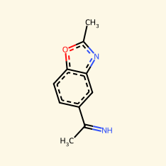 CC(=N)c1ccc2oc(C)nc2c1